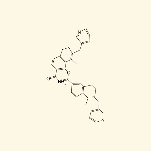 CC1=C(Cc2cccnc2)CCc2cc(C(=O)Oc3c(C(N)=O)ccc4c3C(C)=C(Cc3cccnc3)CC4)ccc21